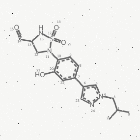 CC(C)Cn1cc(-c2ccc(N3CC(C=O)NS3(=O)=O)c(O)c2)cn1